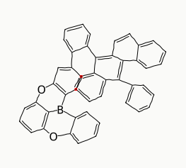 c1ccc(-c2c3ccccc3c(-c3ccccc3-c3ccc4c(c3)Oc3cccc5c3B4c3ccccc3O5)c3ccc4ccccc4c23)cc1